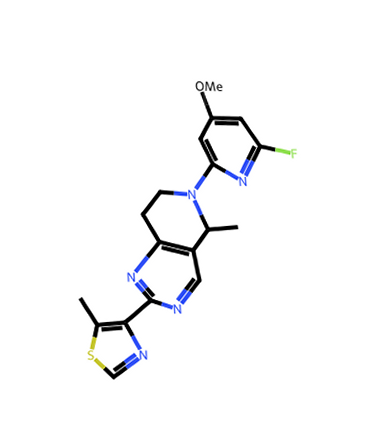 COc1cc(F)nc(N2CCc3nc(-c4ncsc4C)ncc3C2C)c1